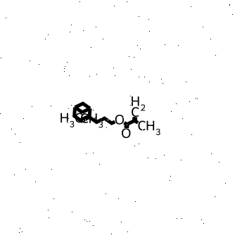 C=C(C)C(=O)OCCCC1=CCC2CC1C2(C)C